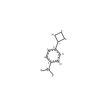 CN(C)c1ccc(C2CCC2)cn1